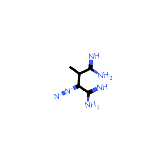 CC(C(=N)N)C(=[N+]=[N-])C(=N)N